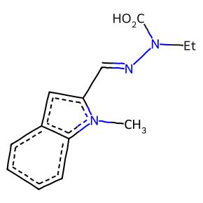 CCN(N=Cc1cc2ccccc2n1C)C(=O)O